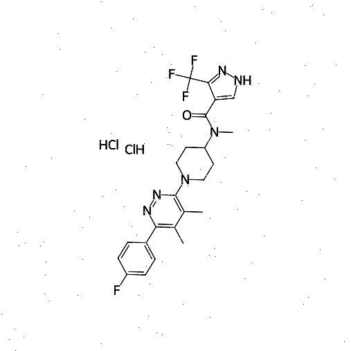 Cc1c(-c2ccc(F)cc2)nnc(N2CCC(N(C)C(=O)c3c[nH]nc3C(F)(F)F)CC2)c1C.Cl.Cl